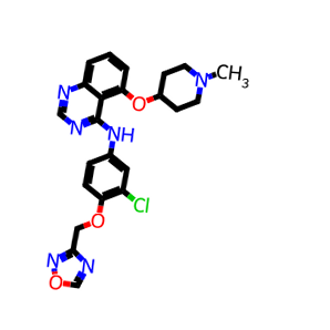 CN1CCC(Oc2cccc3ncnc(Nc4ccc(OCc5ncon5)c(Cl)c4)c23)CC1